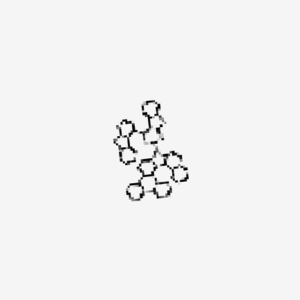 c1ccc2c(c1)ccc1c2c2c3c4ccccc4c4ccccc4c3ccc2n1-c1nc(-c2cccc3sc4ccccc4c23)c2c(n1)sc1ccccc12